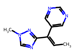 C/C=C(\c1cncnc1)c1ncn(C)n1